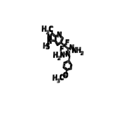 COc1ccc(CN(N)/C(=N\N)C(F)(F)c2cnc3c(C)nn(SI)c3c2)cc1